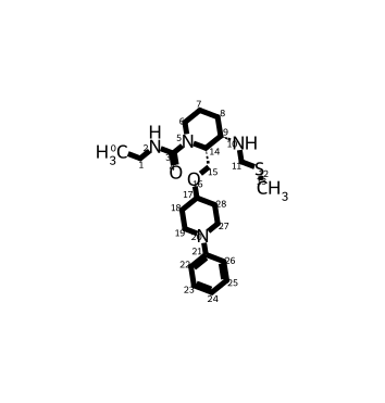 CCNC(=O)N1CCC[C@H](NCSC)[C@@H]1COC1CCN(c2ccccc2)CC1